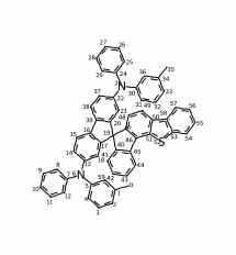 Cc1cccc(N(c2ccccc2)c2ccc3c(c2)C2(c4cc(N(c5ccccc5)c5cccc(C)c5)ccc4-3)c3ccccc3-c3c2ccc2c3sc3ccccc32)c1